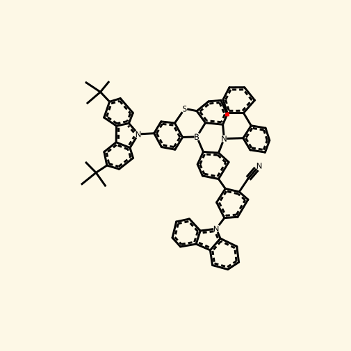 CC(C)(C)c1ccc2c(c1)c1cc(C(C)(C)C)ccc1n2-c1ccc2c(c1)Sc1cccc3c1B2c1ccc(-c2cc(-n4c5ccccc5c5ccccc54)ccc2C#N)cc1N3c1ccccc1-c1ccccc1